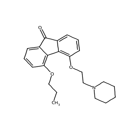 CCCOc1cccc2c1-c1c(OCCN3CCCCC3)cccc1C2=O